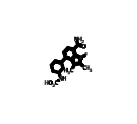 Cc1c(C)n(F)c2c(C(N)=O)ccc(C3=CCCC(NC(=O)O)C3)c12